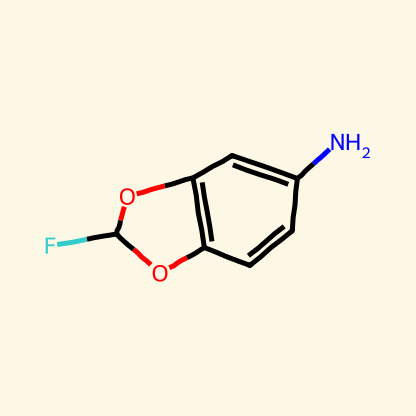 Nc1ccc2c(c1)OC(F)O2